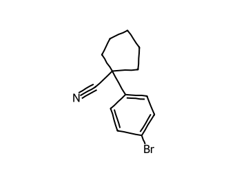 N#CC1(c2ccc(Br)cc2)CCCCC1